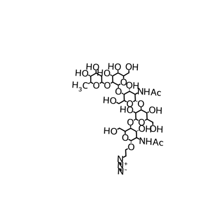 CC(=O)NC1[C@H](O[C@@H]2C(O)[C@H](O[C@@H]3C(CO)O[C@@H](OCCN=[N+]=[N-])C(NC(C)=O)[C@H]3O)OC(CO)[C@@H]2O)OC(CO)[C@@H](O[C@@H]2OC(CO)[C@H](O)[C@H](O)C2OC2CC(O)[C@H](O)[C@H](C)O2)[C@@H]1O